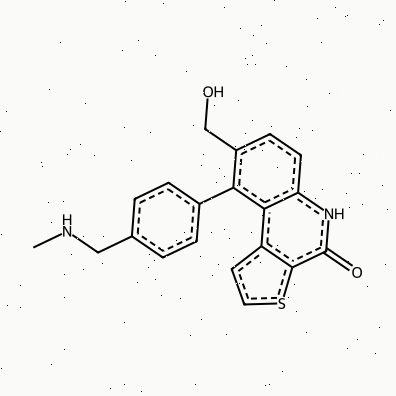 CNCc1ccc(-c2c(CO)ccc3[nH]c(=O)c4sccc4c23)cc1